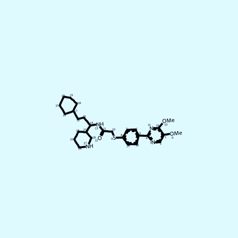 COc1cnc(-c2ccc(SCC(=O)NC(CCC3CCCCC3)C3CCCNC3)cc2)nc1OC